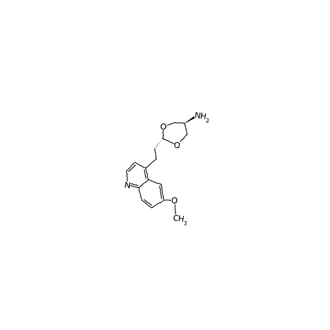 COc1ccc2nccc(CC[C@H]3OC[C@H](N)CO3)c2c1